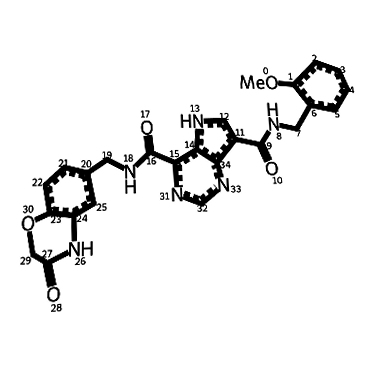 COc1ccccc1CNC(=O)c1c[nH]c2c(C(=O)NCc3ccc4c(c3)NC(=O)CO4)ncnc12